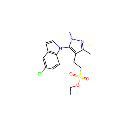 CCOS(=O)(=O)CCc1c(C)nn(C)c1-n1ccc2cc(Cl)ccc21